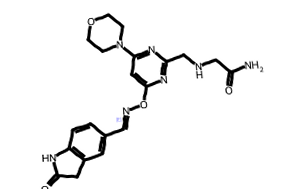 NC(=O)CNCc1nc(O/N=C/c2ccc3c(c2)CC(=O)N3)cc(N2CCOCC2)n1